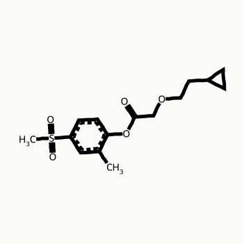 Cc1cc(S(C)(=O)=O)ccc1OC(=O)COCCC1CC1